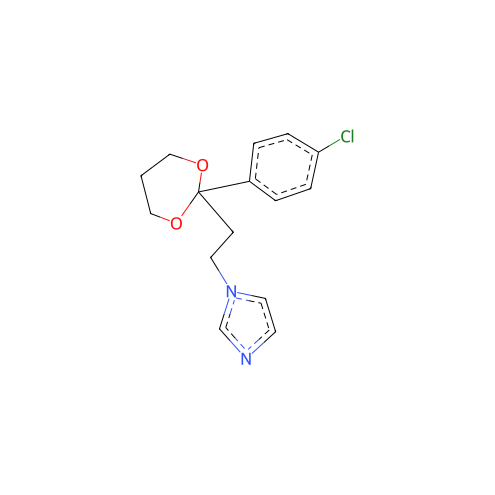 Clc1ccc(C2(CCn3ccnc3)OCCCO2)cc1